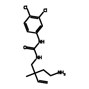 C=CC(C)(CCN)CNC(=O)Nc1ccc(Cl)c(Cl)c1